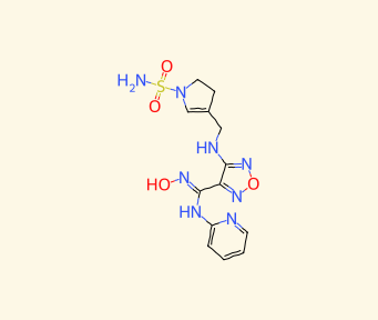 NS(=O)(=O)N1C=C(CNc2nonc2/C(=N/O)Nc2ccccn2)CC1